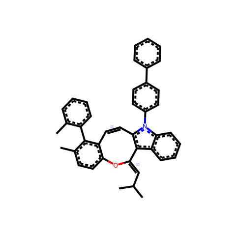 Cc1ccccc1-c1c(C)ccc2c1/C=C\c1c(c3ccccc3n1-c1ccc(-c3ccccc3)cc1)/C(=C/C(C)C)O2